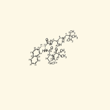 CC(C)(C)CNC[C@@H](O)CNC(=O)[C@@H](Cc1ccc2ccccc2c1)NC(=O)C1CCCN1C(=O)C(C)(C)C.Cl